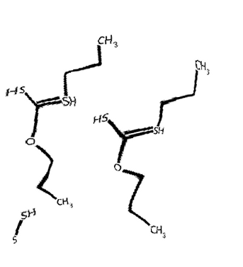 CCCOC(S)=[SH]CCC.CCCOC(S)=[SH]CCC.SS